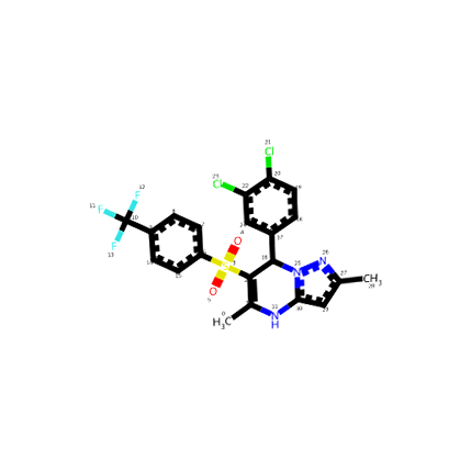 CC1=C(S(=O)(=O)c2ccc(C(F)(F)F)cc2)C(c2ccc(Cl)c(Cl)c2)n2nc(C)cc2N1